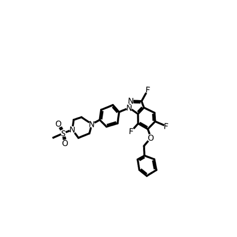 CS(=O)(=O)N1CCN(c2ccc(-n3nc(F)c4cc(F)c(OCc5ccccc5)c(F)c43)cc2)CC1